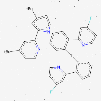 CC(C)(C)c1ccnc(-c2cc(C(C)(C)C)ccn2)c1.Fc1ccnc(-c2cccc[c]2[Ir][c]2ccccc2-c2cc(F)ccn2)c1